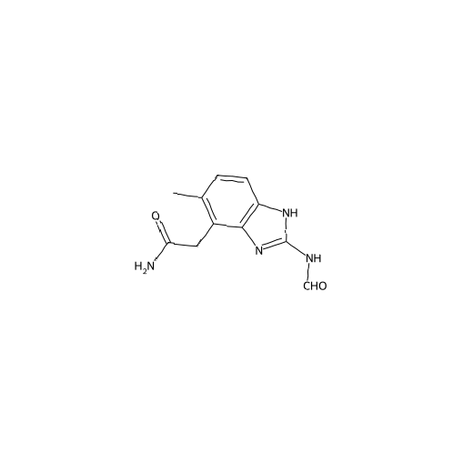 Cc1ccc2[nH]c(NC=O)nc2c1CC(N)=O